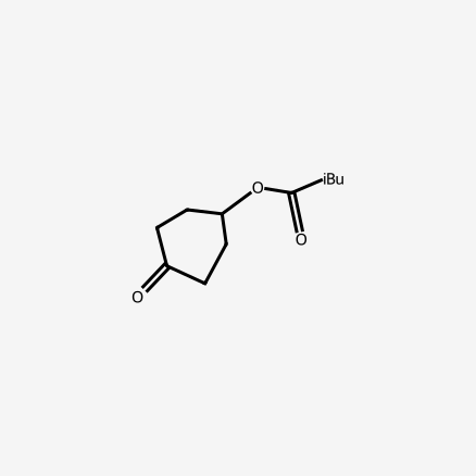 CCC(C)C(=O)OC1CCC(=O)CC1